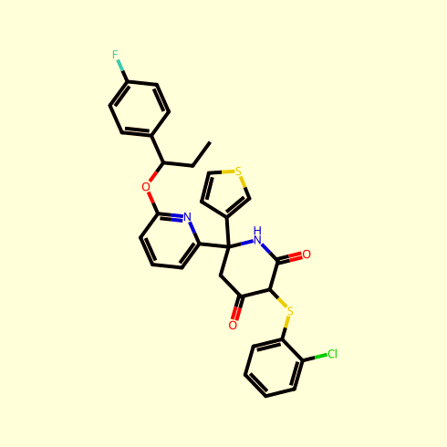 CCC(Oc1cccc(C2(c3ccsc3)CC(=O)C(Sc3ccccc3Cl)C(=O)N2)n1)c1ccc(F)cc1